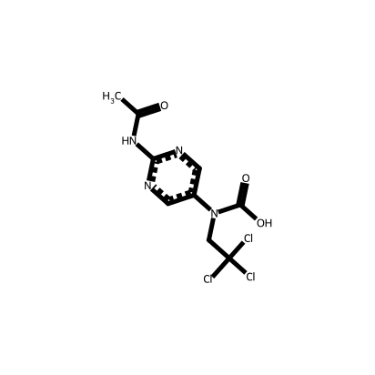 CC(=O)Nc1ncc(N(CC(Cl)(Cl)Cl)C(=O)O)cn1